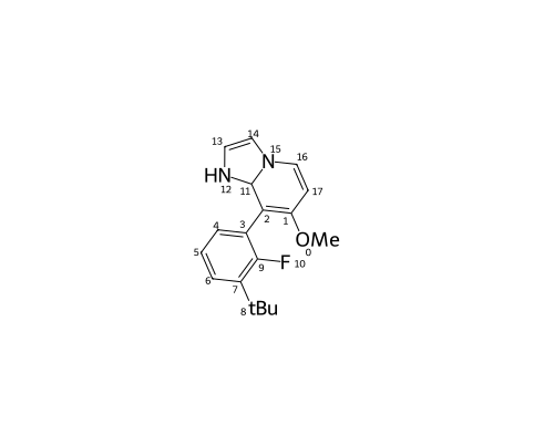 COC1=C(c2cccc(C(C)(C)C)c2F)C2NC=CN2C=C1